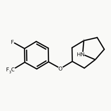 Fc1ccc(OC2C[C]3CCC(C2)N3)cc1C(F)(F)F